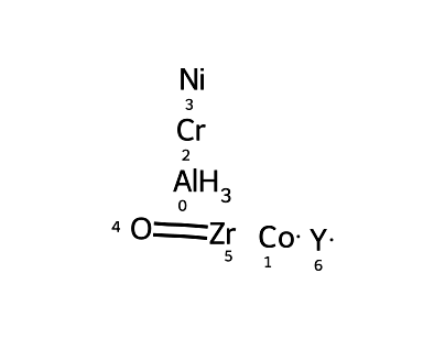 [AlH3].[Co].[Cr].[Ni].[O]=[Zr].[Y]